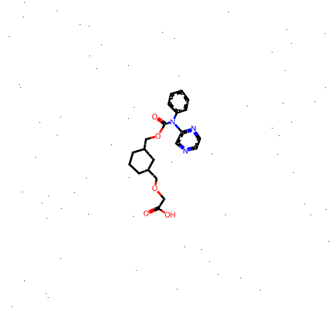 O=C(O)COCC1CCCC(COC(=O)N(c2ccccc2)c2cnccn2)C1